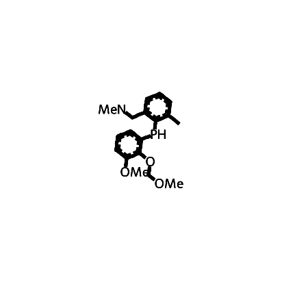 CNCc1cccc(C)c1Pc1cccc(OC)c1OCOC